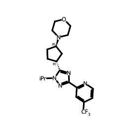 CC(C)n1nc(-c2cc(C(F)(F)F)ccn2)nc1[C@@H]1CC[C@@H](N2CCOCC2)C1